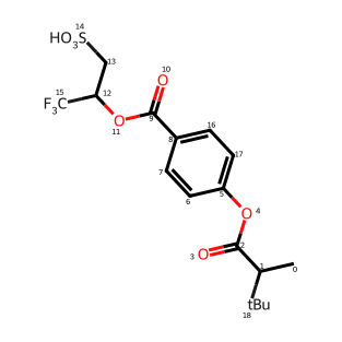 CC(C(=O)Oc1ccc(C(=O)OC(CS(=O)(=O)O)C(F)(F)F)cc1)C(C)(C)C